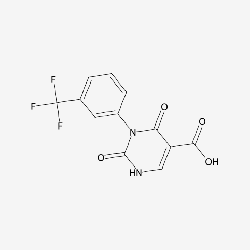 O=C(O)c1c[nH]c(=O)n(-c2cccc(C(F)(F)F)c2)c1=O